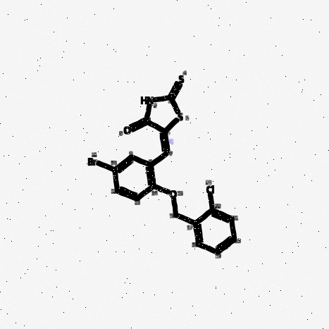 O=C1NC(=S)S/C1=C/c1cc(Br)ccc1OCc1ccccc1Cl